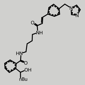 CCCCC(O)c1ccccc1C(=O)NCCCCNC(=O)C=Cc1ccc(Cn2ccnc2)cc1